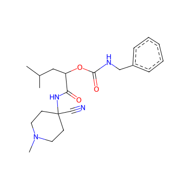 CC(C)CC(OC(=O)NCc1ccccc1)C(=O)NC1(C#N)CCN(C)CC1